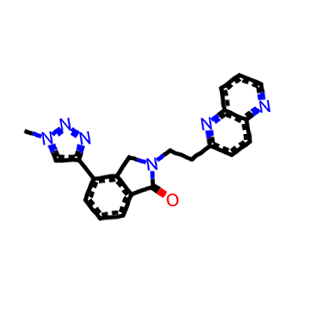 Cn1cc(-c2cccc3c2CN(CCc2ccc4ncccc4n2)C3=O)nn1